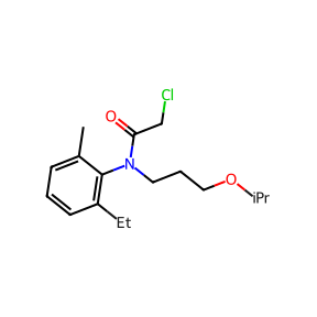 CCc1cccc(C)c1N(CCCOC(C)C)C(=O)CCl